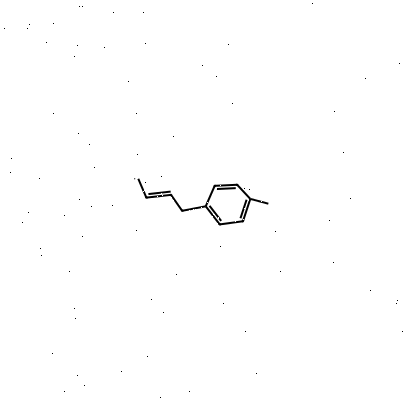 [CH2]C=CCc1ccc(C)cc1